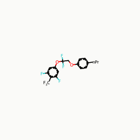 CCCc1ccc(OCC(F)(F)Oc2cc(F)c(C(F)(F)F)c(F)c2)cc1